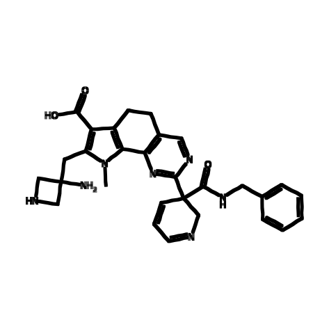 Cn1c(CC2(N)CNC2)c(C(=O)O)c2c1-c1nc(C3(C(=O)NCc4ccccc4)C=CC=NC3)ncc1CC2